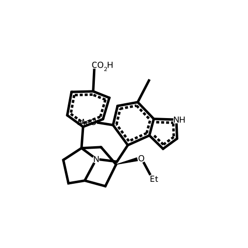 CCO[C@H]1CC2CCC(c3ccc(C(=O)O)cc3)(C1)N2Cc1c(OC)cc(C)c2[nH]ccc12